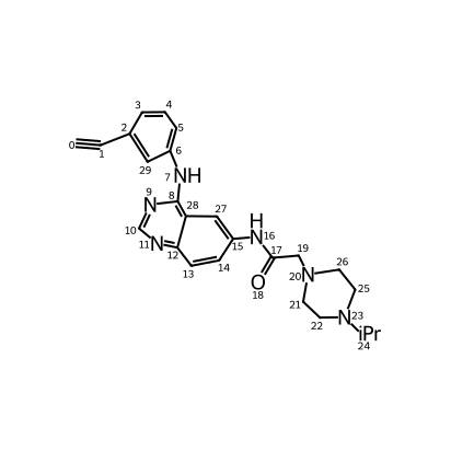 C#Cc1cccc(Nc2ncnc3ccc(NC(=O)CN4CCN(C(C)C)CC4)cc23)c1